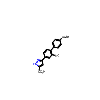 [C-]#[N+]c1cc(-c2cc(C(=O)O)[nH]n2)ccc1-c1ccc(OC)cc1